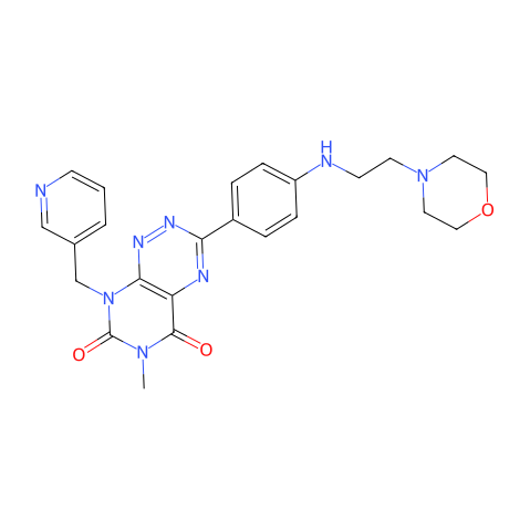 Cn1c(=O)c2nc(-c3ccc(NCCN4CCOCC4)cc3)nnc2n(Cc2cccnc2)c1=O